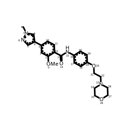 COc1cc(-c2cnn(C)c2)ccc1C(=O)Nc1ccc(OCCN2CCOCC2)cc1